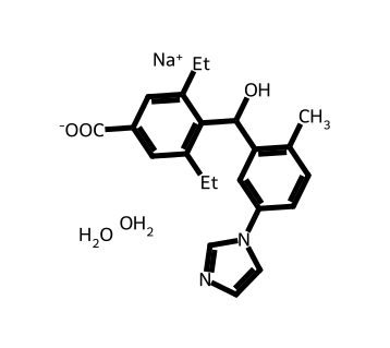 CCc1cc(C(=O)[O-])cc(CC)c1C(O)c1cc(-n2ccnc2)ccc1C.O.O.[Na+]